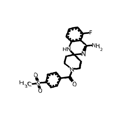 CS(=O)(=O)c1ccc(C(=O)N2CCC3(CC2)N=C(N)c2c(F)cccc2N3)cc1